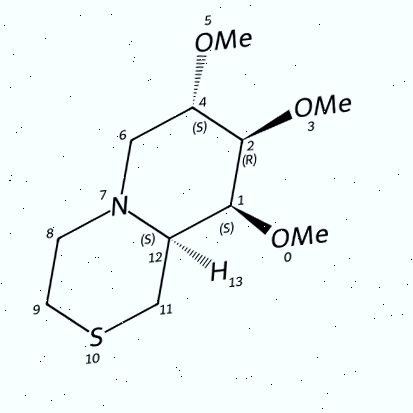 CO[C@@H]1[C@H](OC)[C@@H](OC)CN2CCSC[C@H]12